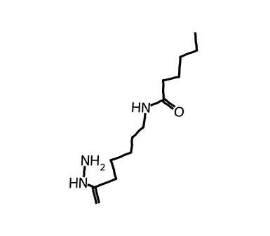 C=C(CCCCCNC(=O)CCCCC)NN